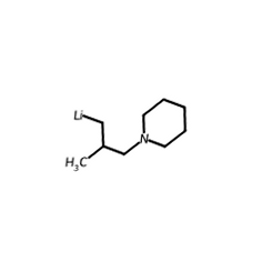 [Li][CH2]C(C)CN1CCCCC1